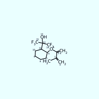 C=C(C)C(=C)OC1CCCCC1C(O)(C(F)(F)F)C(F)(F)F